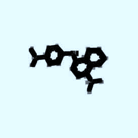 CN(C)c1ccc(Nc2ccc(N(C)C)c3ccccc23)cc1